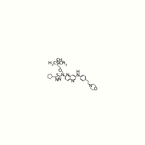 C[Si](C)(C)CCOCN(c1ccc2ncc(Nc3ccc(CCN4CCOCC4)cc3)cc2n1)c1nnc(C2CCCC2)s1